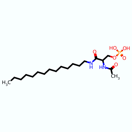 CCCCCCCCCCCCCCNC(=O)C(COP(=O)(O)O)NC(C)=O